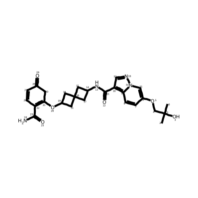 CC(C)(O)COc1ccc2c(C(=O)NC3CC4(C3)CC(OC3=C(C(N)=O)C=CC(=O)C3)C4)cnn2c1